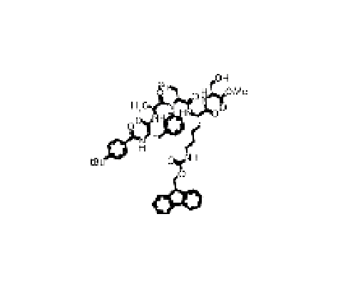 COC(=O)[C@H](CO)NC(=O)[C@H](CCCCNC(=O)OCC1c2ccccc2-c2ccccc21)NC(=O)[C@H](CC(C)C)NC(=O)[C@H](C)NC(=O)[C@H](Cc1ccccc1)NC(=O)c1ccc(C(C)(C)C)cc1